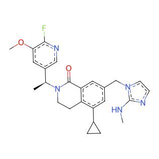 CNc1nccn1Cc1cc2c(c(C3CC3)c1)CCN([C@@H](C)c1cnc(F)c(OC)c1)C2=O